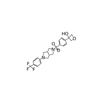 O=S(=O)(c1ccc(C2(O)COC2)cc1)N1CC2CN(c3ccc(C(F)(F)F)cc3)CC2C1